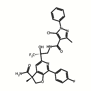 Cc1nn(-c2ccccc2)c(Cl)c1C(=O)NC[C@](O)(c1cc2c(c(-c3ccc(F)cc3)n1)OC[C@]2(C)C(N)=O)C(F)(F)F